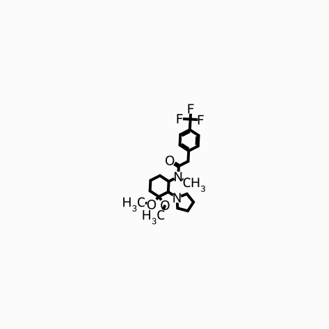 COC1(OC)CCCC(N(C)C(=O)Cc2ccc(C(F)(F)F)cc2)C1N1CCCC1